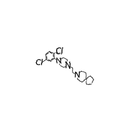 Clc1ccc(Cl)c(N2CCN(CCN3CCC4(CCCC4)CC3)CC2)c1